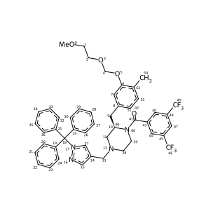 COCCOCOc1cc(C[C@@H]2CN(Cc3cnn(C(c4ccccc4)(c4ccccc4)c4ccccc4)c3)CCN2C(=O)c2cc(C(F)(F)F)cc(C(F)(F)F)c2)ccc1C